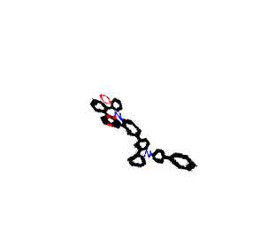 C1=CC2Oc3cccc(-c4ccccc4)c3C2C(n2c3ccccc3c3cc(-c4ccc5c(c4)c4ccccc4n5-c4ccc(-c5ccccc5)cc4)ccc32)=C1